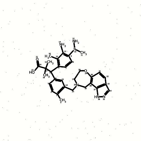 Cc1ccc(C(c2ccc(N(C)N)c(N)c2C)C(C)(C)C(=O)O)cc1CN1CCOc2ccc3cn[nH]c3c2C1